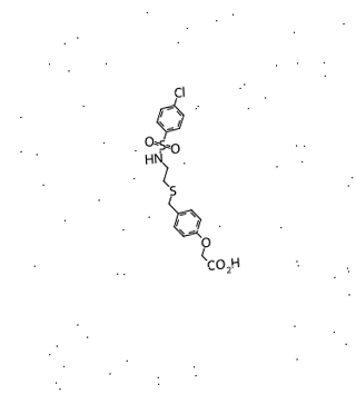 O=C(O)COc1ccc(CSCCNS(=O)(=O)c2ccc(Cl)cc2)cc1